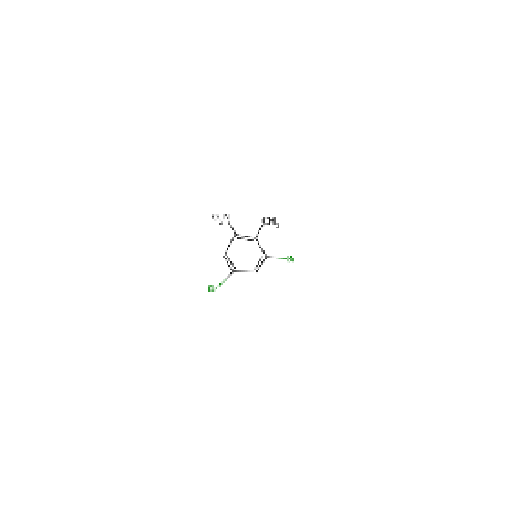 Cc1c(Br)cc(Br)cc1[N+](=O)[O-]